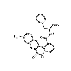 Cc1ccc2cc3c(cc2c1)c(=O)[nH]c1cccc(C(=O)N[C@H](C=O)Cc2ccccc2)c13